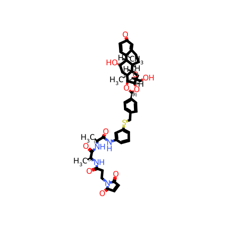 C[C@H](NC(=O)CCN1C(=O)C=CC1=O)C(=O)N[C@@H](C)C(=O)Nc1cccc(SCc2ccc([C@@H]3O[C@@H]4C[C@H]5[C@@H]6CCC7=CC(=O)C=C[C@]7(C)[C@H]6[C@@H](O)C[C@]5(C)[C@]4(C(=O)CO)O3)cc2)c1